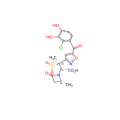 C[C@@H]1CC(=O)N1[C@@H](C(=O)O)[C@](C)(c1cc(C(=O)c2ccc(O)c(O)c2Cl)on1)[SH](=O)=O